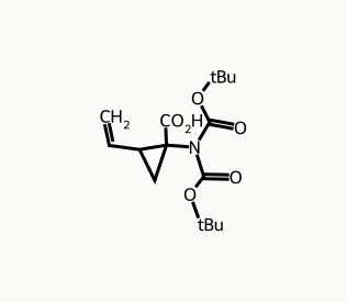 C=CC1CC1(C(=O)O)N(C(=O)OC(C)(C)C)C(=O)OC(C)(C)C